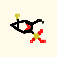 Cc1c2oc(c1S(=O)(=O)O)C1CC21S